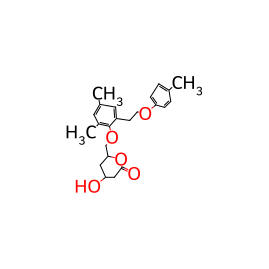 Cc1ccc(OCCc2cc(C)cc(C)c2OCC2CC(O)CC(=O)O2)cc1